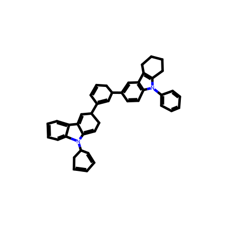 C1=CCC(n2c3c(c4ccccc42)=CC(C2=CC(c4ccc5c(c4)c4c(n5-c5ccccc5)CCCC4)CC=C2)CC=3)C=C1